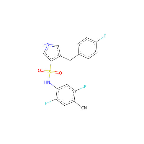 N#Cc1cc(F)c(NS(=O)(=O)c2c[nH]cc2Cc2ccc(F)cc2)cc1F